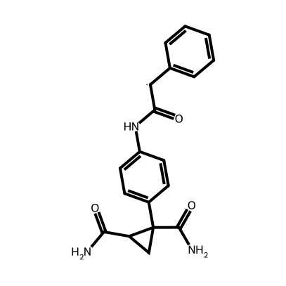 NC(=O)C1CC1(C(N)=O)c1ccc(NC(=O)[CH]c2ccccc2)cc1